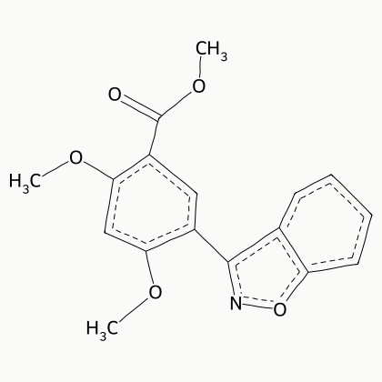 COC(=O)c1cc(-c2noc3ccccc23)c(OC)cc1OC